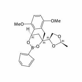 COc1ccc(OC)c2c1C[C@]1([C@H]3CO[C@@H](C)O3)C[C@H]2OB(c2ccccc2)O1